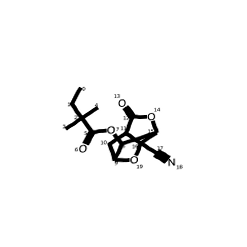 CCC(C)(C)C(=O)OC1C2CC3C(=O)OC1C3(C#N)O2